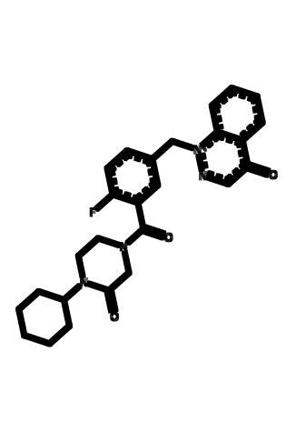 O=C(c1cc(Cn2ncc(=O)c3ccccc32)ccc1F)N1CCN(C2CCCCC2)C(=O)C1